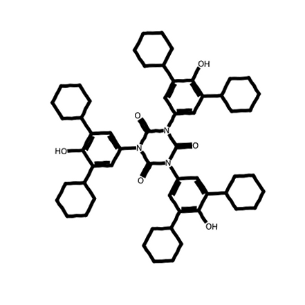 O=c1n(-c2cc(C3CCCCC3)c(O)c(C3CCCCC3)c2)c(=O)n(-c2cc(C3CCCCC3)c(O)c(C3CCCCC3)c2)c(=O)n1-c1cc(C2CCCCC2)c(O)c(C2CCCCC2)c1